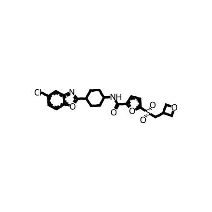 O=C(NC1CCC(c2nc3cc(Cl)ccc3o2)CC1)c1ccc(S(=O)(=O)CC2COC2)o1